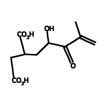 C=C(C)C(=O)C(O)CC(CC(=O)O)C(=O)O